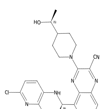 Cc1cc([C@@H](C)Nc2ccc(Cl)nc2C(=O)O)c2nc(N3CCC([C@H](C)O)CC3)c(C#N)nc2c1